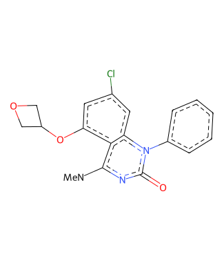 CNc1nc(=O)n(-c2ccccc2)c2cc(Cl)cc(OC3COC3)c12